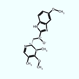 COC1=C(C)C=N[C@H](C[S+]([O-])c2nc3cc(OC)ccc3[nH]2)N1C